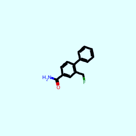 NC(=O)c1ccc(-c2ccccc2)c(CF)c1